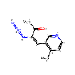 COC(=O)/C(=C\c1cnccc1OC)N=[N+]=[N-]